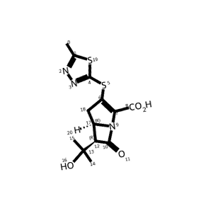 Cc1nnc(SC2=C(C(=O)O)N3C(=O)[C@@H](C(C)(C)O)[C@H]3C2)s1